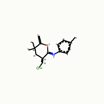 C=C1SC(=N\c2ccc(C)cc2)/C(=C/Cl)CC1(C)C